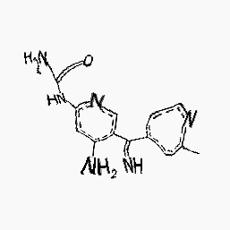 Cc1cc(C(=N)c2cnc(NC(N)=O)cc2N)ccn1